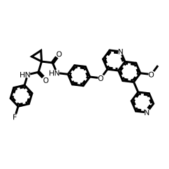 COc1cc2nccc(Oc3ccc(NC(=O)C4(C(=O)Nc5ccc(F)cc5)CC4)cc3)c2cc1-c1ccncc1